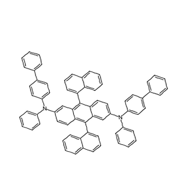 c1ccc(-c2ccc(N(c3ccccc3)c3ccc4c(-c5cccc6ccccc56)c5cc(N(c6ccccc6)c6ccc(-c7ccccc7)cc6)ccc5c(-c5cccc6ccccc56)c4c3)cc2)cc1